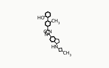 Cc1cc(-c2nc(-c3ccc4c(c3)CCC4N[C@H]3C[C@H](C)C3)no2)ccc1-c1ccccc1O